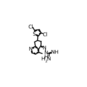 Cc1ccnc2c1/C(=N\NC(=N)N)CC(c1sc(Cl)cc1Cl)C2